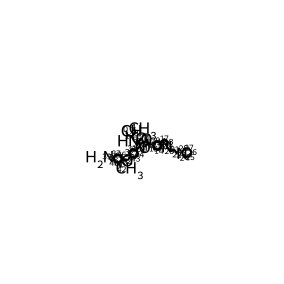 CCC(CC)NC(=O)N(OC(=O)c1ccc2c(ccn2CCCN2CCCCC2)c1)c1ccc(Oc2ccc(N)cc2C)cc1